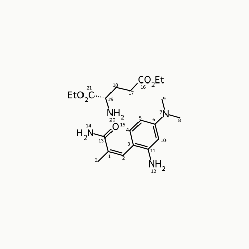 CC(=Cc1ccc(N(C)C)cc1N)C(N)=O.CCOC(=O)CC[C@H](N)C(=O)OCC